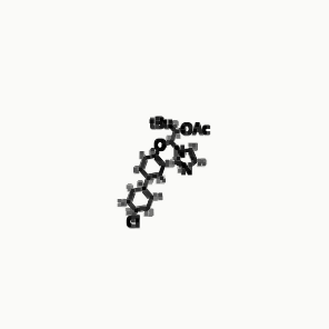 CC(=O)OC(C(Oc1ccc(-c2ccc(Cl)cc2)cc1)n1ccnc1)C(C)(C)C